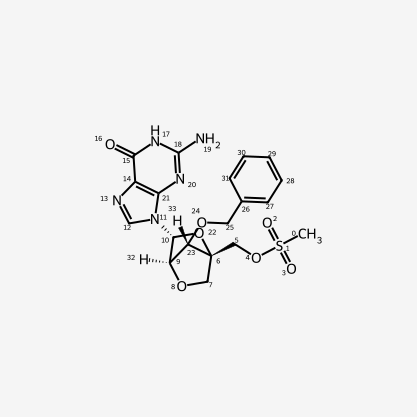 CS(=O)(=O)OC[C@]12CO[C@@H]([C@H](n3cnc4c(=O)[nH]c(N)nc43)O1)[C@@H]2OCc1ccccc1